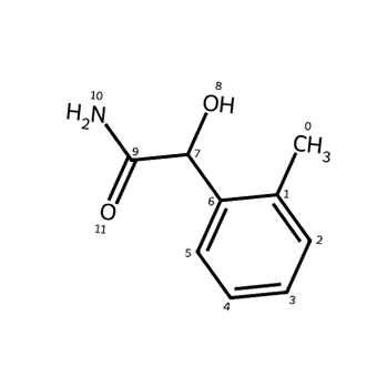 Cc1ccccc1C(O)C(N)=O